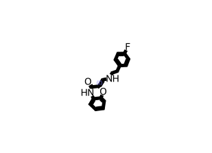 O=C1Nc2ccccc2O/C1=C\NCCc1ccc(F)cc1